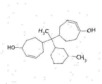 CC1CCCC(C(C)(C2CC=C=C(O)CC2)C2CC=CC(O)CC2)C1